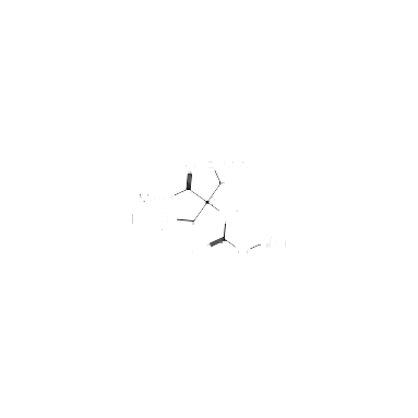 CCCCOC(=O)OC(CC(=O)OCC)(CC(=O)OCC)C(=O)OC